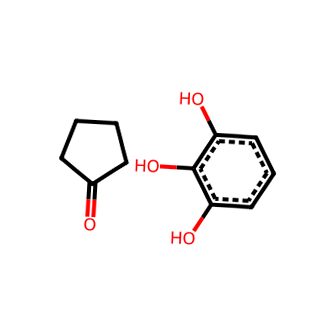 O=C1CCCC1.Oc1cccc(O)c1O